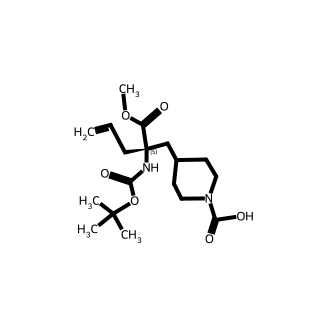 C=CC[C@@](CC1CCN(C(=O)O)CC1)(NC(=O)OC(C)(C)C)C(=O)OC